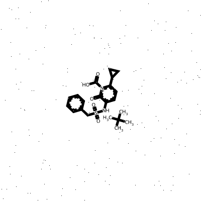 CC(C)(C)C.O=C(O)n1c(C2CC2)ccc(NS(=O)(=O)Cc2ccccc2)c1=O